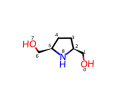 OC[C@@H]1CC[C@H](CO)N1